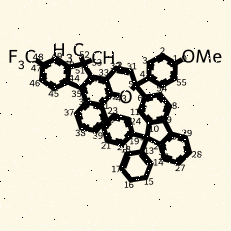 COc1ccc(C2(c3ccc4c(c3)C(C3=CCCC=C3)(c3ccccc3)c3ccccc3-4)C=Cc3c4c(c5ccccc5c3O2)-c2ccc(C(F)(F)F)cc2C4(C)C)cc1